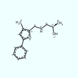 Cc1cc(-c2ccccc2)oc1CNC[C@@H](C)O